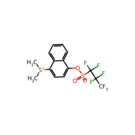 C[S+](C)c1ccc(OS(=O)(=O)C(F)(F)C(F)(F)C(F)(F)F)c2ccccc12